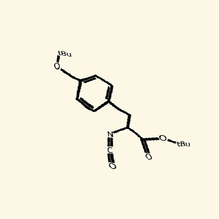 CC(C)(C)OC(=O)C(Cc1ccc(OC(C)(C)C)cc1)N=C=O